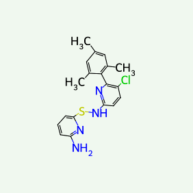 Cc1cc(C)c(-c2nc(NSc3cccc(N)n3)ccc2Cl)c(C)c1